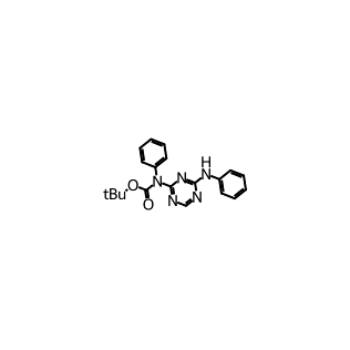 CC(C)(C)OC(=O)N(c1ccccc1)c1ncnc(Nc2ccccc2)n1